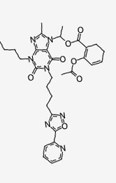 CCCCn1c(=O)n(CCCCc2noc(-c3ccccn3)n2)c(=O)c2c1nc(C)n2C(C)OC(=O)C1=C(OC(C)=O)C=CCC1